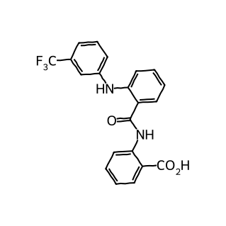 O=C(O)c1ccccc1NC(=O)c1ccccc1Nc1cccc(C(F)(F)F)c1